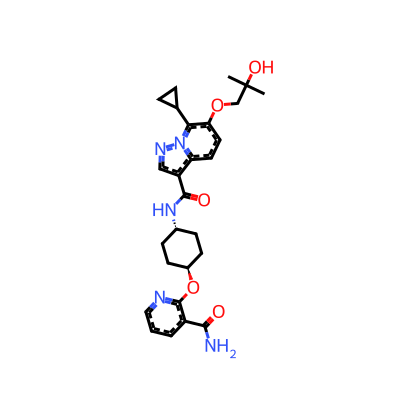 CC(C)(O)COc1ccc2c(C(=O)N[C@H]3CC[C@H](Oc4ncccc4C(N)=O)CC3)cnn2c1C1CC1